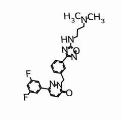 CN(C)CCCNc1nc(-c2cccc(Cn3nc(-c4cc(F)cc(F)c4)ccc3=O)c2)no1